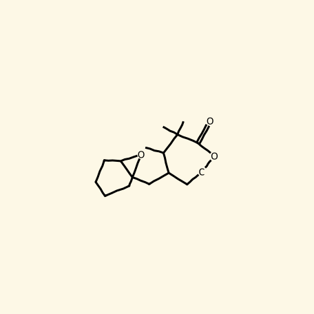 CC1C(CC23CCCCC2O3)CCOC(=O)C1(C)C